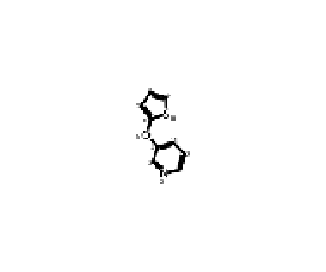 c1cncc(Oc2cccs2)c1